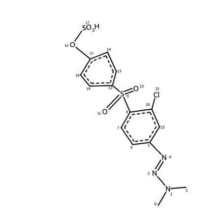 CN(C)N=Nc1ccc(S(=O)(=O)c2ccc(OS(=O)(=O)O)cc2)c(Cl)c1